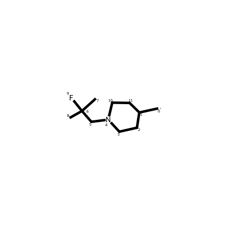 [CH2]C1CCN(CC(C)(C)F)CC1